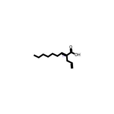 C=CC/C(=C\CCCCCC)C(=O)O